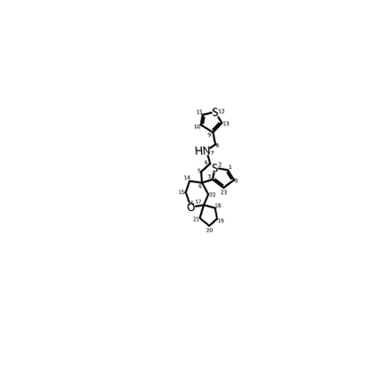 c1csc(C2(CCNCc3ccsc3)CCOC3(CCCC3)C2)c1